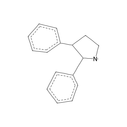 c1ccc(C2CC[N]C2c2ccccc2)cc1